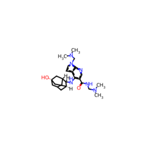 CN(C)CNC(=O)c1cnc2c(ccn2CN(C)C)c1N[C@H]1[C@@H]2CC3C[C@H]1C[C@@](O)(C3)C2